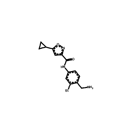 CCc1cc(NC(=O)c2cc(C3CC3)on2)ccc1CN